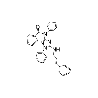 O=C(c1ccccc1)N(c1ccccc1)c1nc(NCC=Cc2ccccc2)n(-c2ccccc2)n1